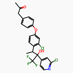 CC(=O)Cc1ccc(Oc2ccc(C(C)C(O)(c3ccnc(Cl)c3)C(F)(F)F)c(Cl)c2)cc1